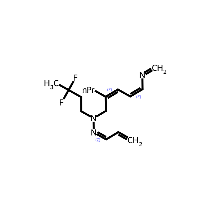 C=C/C=N\N(CCC(C)(F)F)C/C(=C\C=C/N=C)CCC